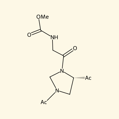 COC(=O)NCC(=O)N1CN(C(C)=O)C[C@H]1C(C)=O